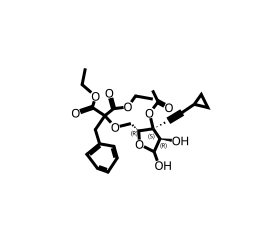 CCOC(=O)C(Cc1ccccc1)(OC[C@H]1OC(O)[C@H](O)[C@]1(C#CC1CC1)OC(C)=O)C(=O)OCC